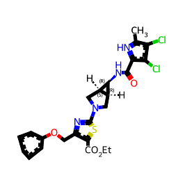 CCOC(=O)c1sc(N2C[C@@H]3[C@H](C2)[C@@H]3NC(=O)c2[nH]c(C)c(Cl)c2Cl)nc1COc1ccccc1